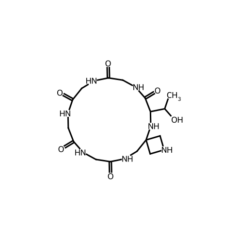 CC(O)C1NC2(CNC2)CNC(=O)CNC(=O)CNC(=O)CNC(=O)CNC1=O